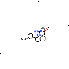 COc1cccc(-c2ccc3c(c2)[C@]2(CCC3)CC(=O)N(C)C(=N)N2)c1